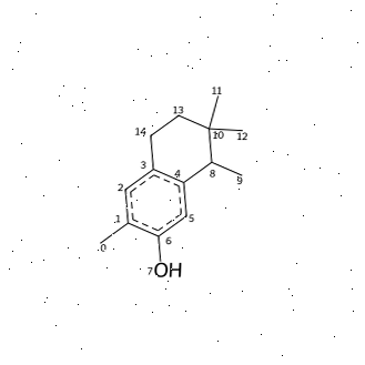 Cc1cc2c(cc1O)C(C)C(C)(C)CC2